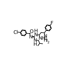 CC(C)CN/C(=N/C(=O)c1ccc(Cl)cc1)NC(N)CC(N)c1ccc(F)cc1